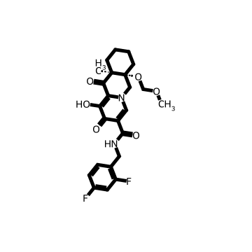 COCO[C@@]12CCCC[C@]1(C)C(=O)c1c(O)c(=O)c(C(=O)NCc3ccc(F)cc3F)cn1C2